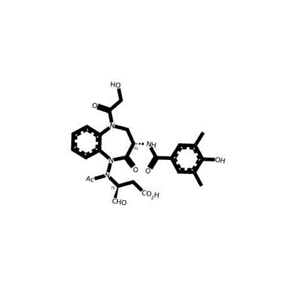 CC(=O)N([C@H](C=O)CC(=O)O)N1C(=O)[C@@H](NC(=O)c2cc(C)c(O)c(C)c2)CN(C(=O)CO)c2ccccc21